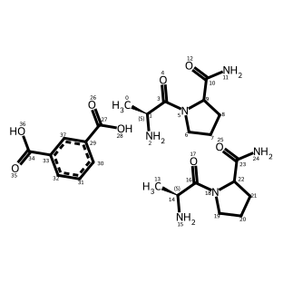 C[C@H](N)C(=O)N1CCCC1C(N)=O.C[C@H](N)C(=O)N1CCCC1C(N)=O.O=C(O)c1cccc(C(=O)O)c1